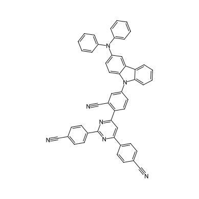 N#Cc1ccc(-c2cc(-c3ccc(-n4c5ccccc5c5cc(N(c6ccccc6)c6ccccc6)ccc54)cc3C#N)nc(-c3ccc(C#N)cc3)n2)cc1